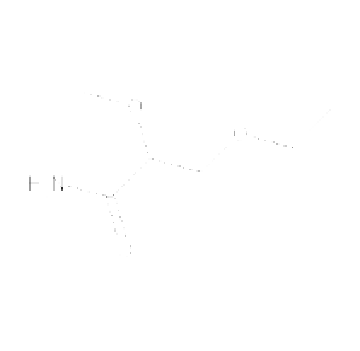 CCOCC(OC)C(N)=O